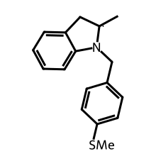 CSc1ccc(CN2[C](C)Cc3ccccc32)cc1